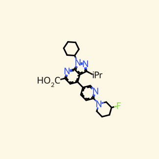 CC(C)c1nn(C2CCCCC2)c2nc(C(=O)O)cc(-c3ccc(N4CCCC(F)C4)nc3)c12